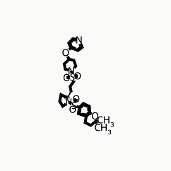 CC1(C)CCc2cc(S(=O)(=O)N3CCC[C@H]3CCCS(=O)(=O)N3CCC(Oc4ccncc4)CC3)ccc2O1